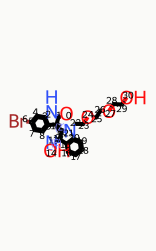 O=C1Nc2cc(Br)ccc2/C1=C1\C(=N\O)c2ccccc2N1CCOCCOCCO